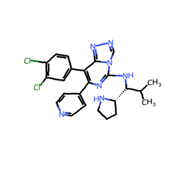 CC(C)C(Nc1nc(-c2ccncc2)c(-c2ccc(Cl)c(Cl)c2)c2nncn12)[C@@H]1CCCN1